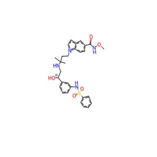 CONC(=O)c1ccc2c(ccn2CCC(C)(C)NC[C@H](O)c2cccc(NS(=O)(=O)c3ccccc3)c2)c1